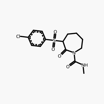 CNC(=O)N1CCCCC(S(=O)(=O)c2ccc(Cl)cc2)C1=O